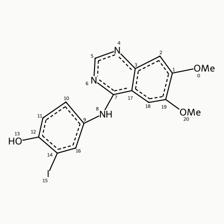 COc1cc2ncnc(Nc3ccc(O)c(I)c3)c2cc1OC